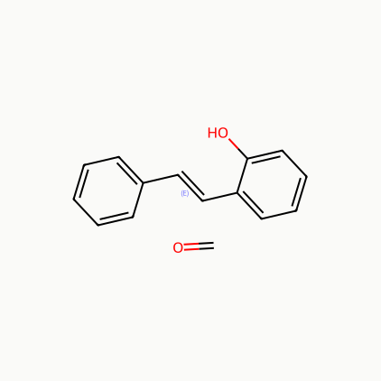 C=O.Oc1ccccc1/C=C/c1ccccc1